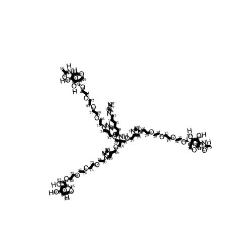 CC(=O)N[C@H]1[C@H]2OC[C@](COCCOCCOCCOCCn3cc(COCC(COCc4cn(CCOCCOCCOCCOC[C@@]56CO[C@@H](O5)[C@H](NC(C)=O)[C@@H](O)[C@H]6O)nn4)(COCc4cn(CCOCCOCCOCCO[C@H](C)[C@]56CO[C@H](C[C@@H](O)[C@H]5O)O6)nn4)NC(=O)CCCCCN=[N+]=[N-])nn3)(O2)[C@H](O)[C@@H]1O